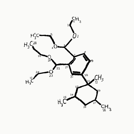 CCOC(OCC)c1ccc(C2(C)CC(C)CC(C)C2)cc1C(OCC)OCC